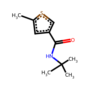 Cc1cc(C(=O)NC(C)(C)C)cs1